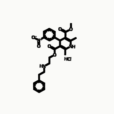 COC(=O)C1=C(C)NC(C)=C(C(=O)OCCNCCc2ccccc2)C1c1cccc([N+](=O)[O-])c1.Cl